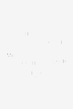 O.O=C(O)CC(O)(CC(=O)O)C(=O)O.[Mn]